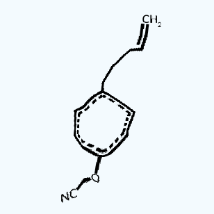 C=CCc1ccc(OC#N)cc1